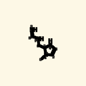 CN1C=CNC1CNN=N